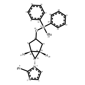 CC(C)c1nccn1[C@@H]1[C@@H]2CC(O[Si](c3ccccc3)(c3ccccc3)C(C)(C)C)C[C@@H]21